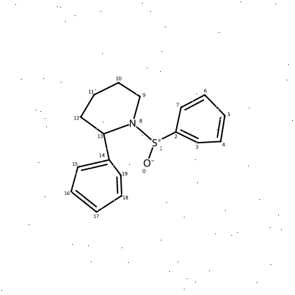 [O-][S+](c1ccccc1)N1CCCCC1c1ccccc1